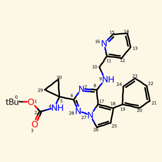 CC(C)(C)OC(=O)NC1(c2nc(NCc3ccccn3)c3c(-c4ccccc4)ccn3n2)CC1